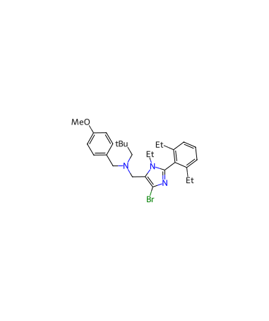 CCc1cccc(CC)c1-c1nc(Br)c(CN(Cc2ccc(OC)cc2)CC(C)(C)C)n1CC